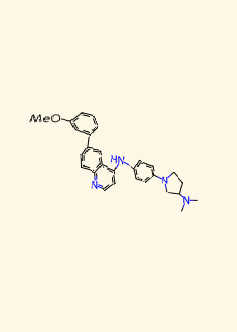 COc1cccc(-c2ccc3nccc(Nc4ccc(N5CCC(N(C)C)C5)cc4)c3c2)c1